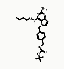 CCCCONc1nc(N)nc2ccn(Cc3ccc(CNC(=O)OC(C)(C)C)cc3)c12